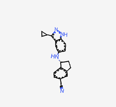 N#Cc1ccc2c(c1)CC[C@H]2Nc1ccc2[nH]nc(C3CC3)c2c1